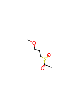 COCCC[S+]([O-])C(C)=O